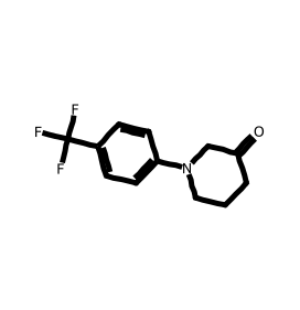 O=C1CCCN(c2ccc(C(F)(F)F)cc2)C1